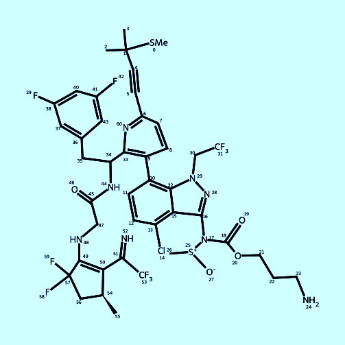 CSC(C)(C)C#Cc1ccc(-c2ccc(Cl)c3c(N(C(=O)OCCCN)[S+](C)[O-])nn(CC(F)(F)F)c23)c(C(Cc2cc(F)cc(F)c2)NC(=O)CNC2=C(C(=N)C(F)(F)F)[C@@H](C)CC2(F)F)n1